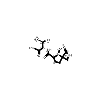 CC(=O)N1C(C(=O)N[C@H](C(N)=O)[C@@H](C)O)CCC12CNC2=O